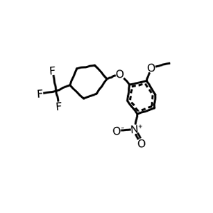 COc1ccc([N+](=O)[O-])cc1OC1CCC(C(F)(F)F)CC1